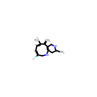 C=C1C2=C(CC(C)NC2)NC/C(F)=C\C=C/1C